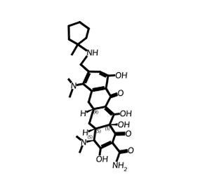 CN(C)c1c(CNC2(C)CCCCC2)cc(O)c2c1C[C@H]1C[C@H]3[C@H](N(C)C)C(O)=C(C(N)=O)C(=O)[C@@]3(O)C(O)=C1C2=O